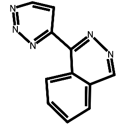 c1ccc2c(-c3ccnnn3)nncc2c1